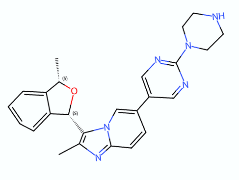 Cc1nc2ccc(-c3cnc(N4CCNCC4)nc3)cn2c1[C@H]1O[C@@H](C)c2ccccc21